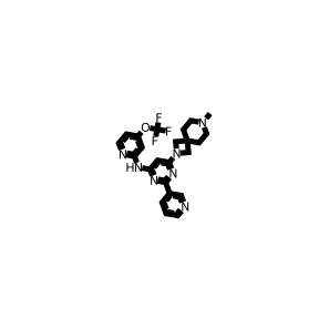 CN1CCC2(CC1)CN(c1cc(Nc3cc(OC(F)(F)F)ccn3)nc(-c3cccnc3)n1)C2